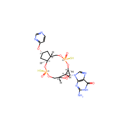 Nc1nc2c(ncn2[C@@H]2O[C@@H]3CO[P@@](=O)(S)O[C@H]4C[C@H](Oc5ccncn5)C[C@@H]4CO[P@@](=O)(S)O[C@@H]2[C@@H]3O)c(=O)[nH]1